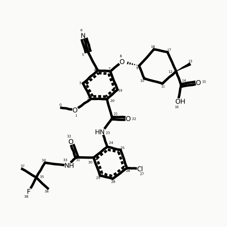 COc1cc(C#N)c(O[C@H]2CC[C@@](C)(C(=O)O)CC2)cc1C(=O)Nc1cc(Cl)ccc1C(=O)NCC(C)(C)F